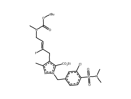 CCOC(=O)c1c(C/C(F)=C/CN(C)C(=O)OC(C)(C)C)c(C)nn1Cc1ccc(S(=O)(=O)N(C)C)c(Cl)c1